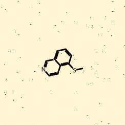 CSc1[c]ccc2cnccc12